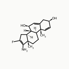 C[C@]12C=C[C@H](O)CC1=C[C@H](O)[C@@H]1[C@@H]2CC[C@]2(C)C(N)=C(F)C[C@@H]12